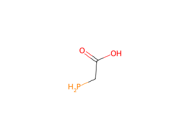 O=C(O)CP